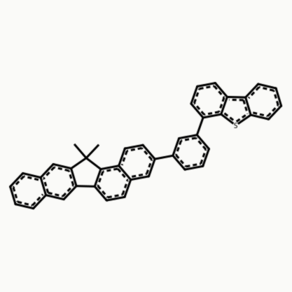 CC1(C)c2cc3ccccc3cc2-c2ccc3cc(-c4cccc(-c5cccc6c5sc5ccccc56)c4)ccc3c21